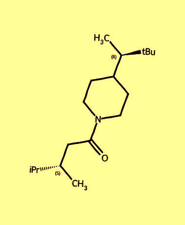 CC(C)[C@@H](C)CC(=O)N1CCC([C@@H](C)C(C)(C)C)CC1